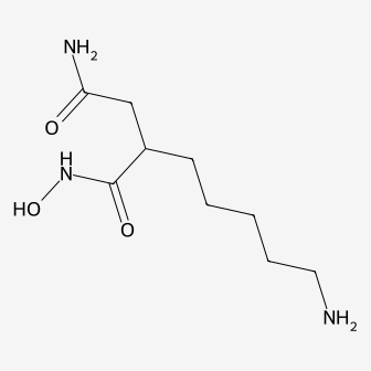 NCCCCCC(CC(N)=O)C(=O)NO